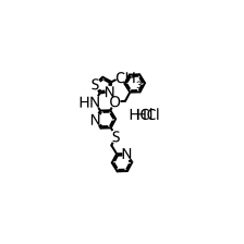 Cc1csc(Nc2ncc(SCc3ccccn3)cc2OCc2ccccc2)n1.Cl.Cl